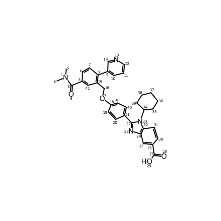 CN(C)C(=O)c1ccc(-c2cccnc2)c(COc2ccc(-c3nc4cc(C(=O)O)ccc4n3C3CCCCC3)cc2)c1